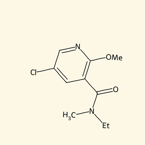 CCN(C)C(=O)c1cc(Cl)cnc1OC